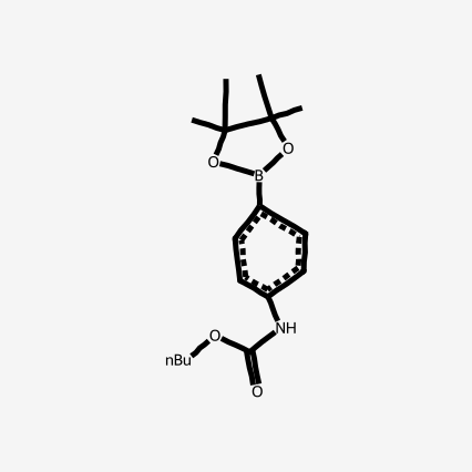 CCCCOC(=O)Nc1ccc(B2OC(C)(C)C(C)(C)O2)cc1